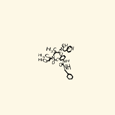 C[C@@H]1CN([C@@H](C)CO)C(=O)Cc2cc(NC(=O)NCC3CCCCC3)ccc2O[C@H]1CN(C)Cc1ccncc1